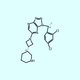 C[C@H](c1ccc(Cl)cc1Cl)n1nnc2ncc(N3CC([C@H]4CCCNC4)C3)nc21